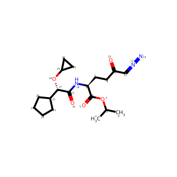 CC(C)OC(=O)[C@H](CCC(=O)C=[N+]=[N-])NC(=O)[C@@H](OC1CC1)C1CCCC1